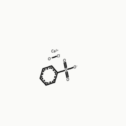 O=S(=O)([O-])c1ccccc1.[Ca+2].[O-]Cl